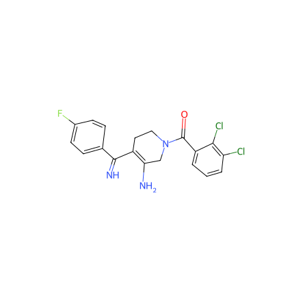 N=C(C1=C(N)CN(C(=O)c2cccc(Cl)c2Cl)CC1)c1ccc(F)cc1